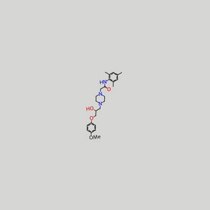 COc1ccc(OCC(O)CN2CCN(CC(=O)Nc3c(C)cc(C)cc3C)CC2)cc1